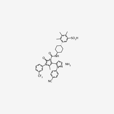 Cc1c(S(=O)(=O)O)cc([C@H]2CC[C@H](NC(=O)n3c(-c4ccnn4-c4ccc(C#N)cc4)c(C)n(-c4cccc(C(F)(F)F)c4)c3=O)CC2)c(C)c1C.N